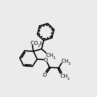 C=C(C)C(=O)OC1C=CC=CC1(C(=O)O)C(C)c1ccccc1